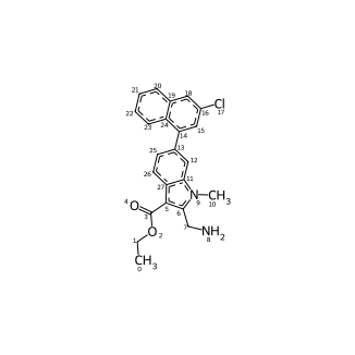 CCOC(=O)c1c(CN)n(C)c2cc(-c3cc(Cl)cc4ccccc34)ccc12